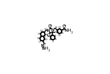 CC1(c2ccccc2)C(=O)N(Cc2ccc3ccc(C=NN)cc3c2)C(=O)N1Cc1cccc(C(N)=O)c1